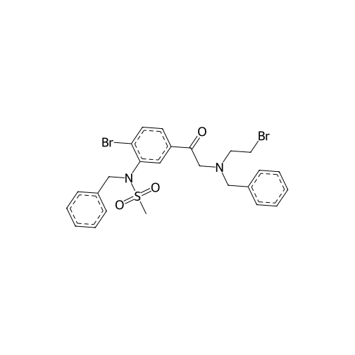 CS(=O)(=O)N(Cc1ccccc1)c1cc(C(=O)CN(CCBr)Cc2ccccc2)ccc1Br